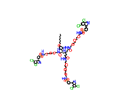 CCCCCCCCOc1ccc(CNC(CCC(=O)NCCOCCOCCOCCNS(=O)(=O)c2cccc([C@@H]3CN(C)Cc4c(Cl)cc(Cl)cc43)c2)(CCC(=O)NCCOCCOCCOCCNS(=O)(=O)c2cccc([C@@H]3CN(C)Cc4c(Cl)cc(Cl)cc43)c2)CCC(=O)NCCOCCOCCOCCNS(=O)(=O)c2cccc([C@@H]3CN(C)Cc4c(Cl)cc(Cl)cc43)c2)cc1